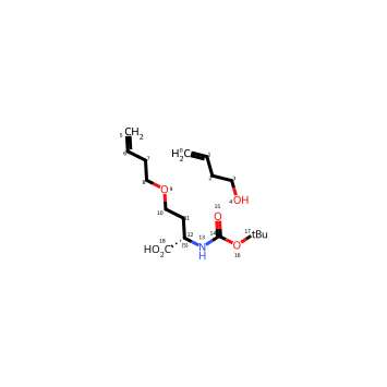 C=CCCO.C=CCCOCC[C@H](NC(=O)OC(C)(C)C)C(=O)O